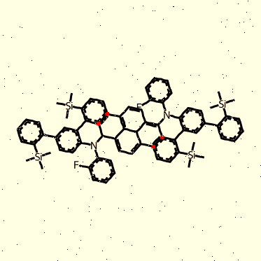 C[Si](C)(C)c1ccccc1-c1ccc(N(C2=C3C=CC4=C5C(=CC=C(C=C2)C35)C(N(c2ccccc2F)c2ccc(-c3ccccc3[Si](C)(C)C)cc2-c2ccccc2[Si](C)(C)C)C=C4)c2ccccc2F)c(-c2ccccc2[Si](C)(C)C)c1